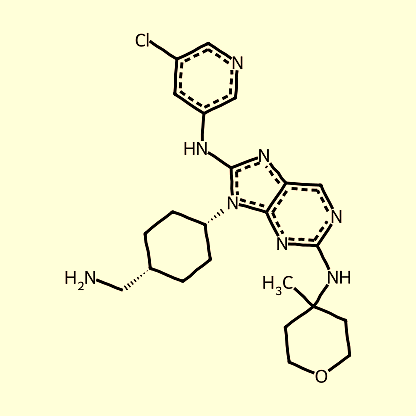 CC1(Nc2ncc3nc(Nc4cncc(Cl)c4)n([C@H]4CC[C@@H](CN)CC4)c3n2)CCOCC1